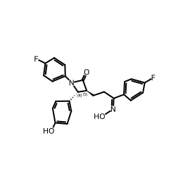 O=C1[C@@H](CCC(=NO)c2ccc(F)cc2)[C@H](c2ccc(O)cc2)N1c1ccc(F)cc1